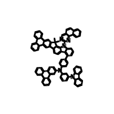 CC1(C)c2cc3c4ccccc4c4ccccc4c3cc2-c2ccc3c4c(-c5ccc(N(c6cccc(-n7c8ccccc8c8ccccc87)c6)c6ccc7c8ccccc8c8ccccc8c7c6)cc5)cccc4n(-c4ncc5ccc6ccccc6c5n4)c3c21